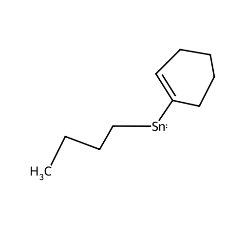 CCC[CH2][Sn][C]1=CCCCC1